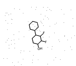 OC1CCC(C2CCCCC2)C(F)C1F